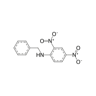 O=[N+]([O-])c1ccc(NCc2ccccc2)c([N+](=O)[O-])c1